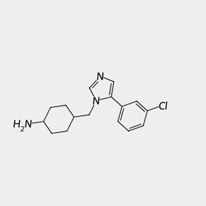 NC1CCC(Cn2cncc2-c2cccc(Cl)c2)CC1